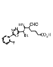 CCC(C(=N)C(C=O)CCCC(=O)O)c1nnc(-c2ccccc2F)o1